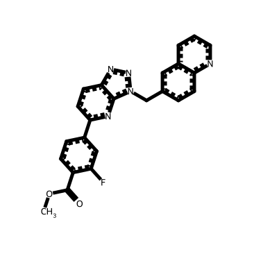 COC(=O)c1ccc(-c2ccc3nnn(Cc4ccc5ncccc5c4)c3n2)cc1F